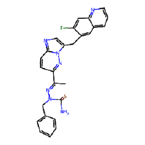 C/C(=N\N(Cc1ccccc1)C(N)=S)c1ccc2ncc(Cc3cc4cccnc4cc3F)n2n1